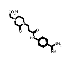 N=C(N)c1ccc(NC(=O)CCN2CCN(CC(=O)O)CC2=O)cc1